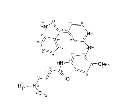 COc1ccc(NC(=O)/C=C/CN(C)C)cc1Nc1nccc(-c2c[nH]c3ccccc23)n1